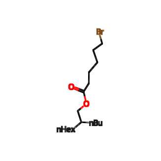 CCCCCCC(CCCC)COC(=O)CCCCCBr